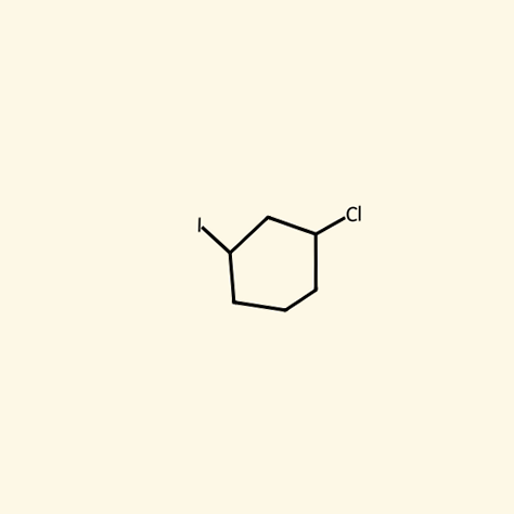 ClC1CCCC(I)C1